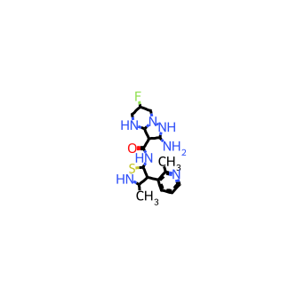 Cc1ncccc1C1C(C)NSC1NC(=O)C1C(N)NN2CC(F)CNC12